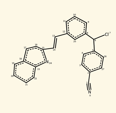 N#Cc1ccc(C(Cl)c2cccc(/C=C/c3ccc4ccccc4n3)c2)cc1